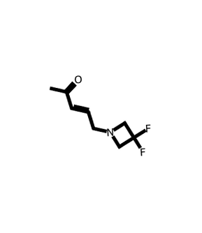 CC(=O)/C=C/CN1CC(F)(F)C1